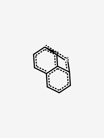 c1cc2ccc3nc2c(c1)s3